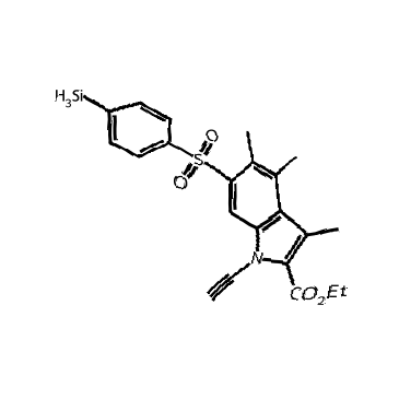 C#Cn1c(C(=O)OCC)c(C)c2c(C)c(C)c(S(=O)(=O)c3ccc([SiH3])cc3)cc21